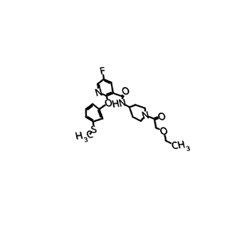 CCOCC(=O)N1CCC(NC(=O)c2cc(F)cnc2Oc2cccc(SC)c2)CC1